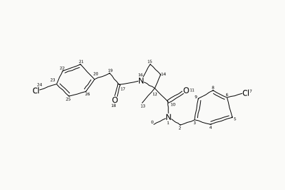 CN(Cc1ccc(Cl)cc1)C(=O)C1(C)CCN1C(=O)Cc1ccc(Cl)cc1